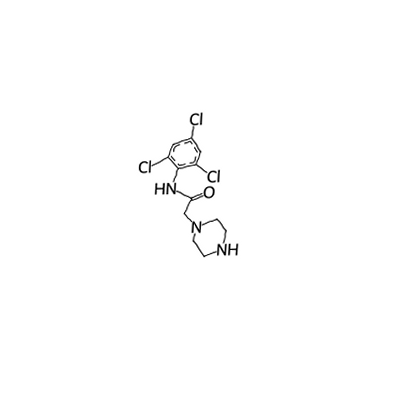 O=C(CN1CCNCC1)Nc1c(Cl)cc(Cl)cc1Cl